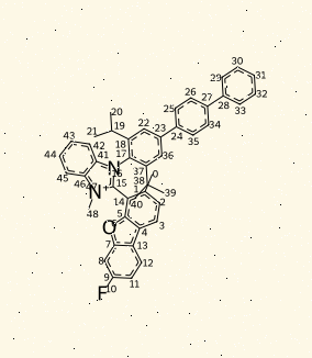 Cc1ccc2c(oc3cc(F)ccc32)c1-c1n(-c2c(C(C)C)cc(-c3ccc(-c4ccccc4)cc3)cc2C(C)C)c2ccccc2[n+]1C